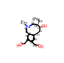 CCN1CCc2cc(CO)c(CO)cc2CC[C@H](O)[C@H](CC(C)C)C1